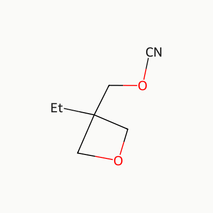 CCC1(COC#N)COC1